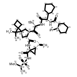 C=C[C@@H]1C[C@]1(NC(=O)[C@@H]1C[C@@]2(CN1C(=O)[C@@H](NC(=O)[C@@H](NC(=O)[C@@H]1CCCCN1C(C)C)C1CCCCC1)C(C)(C)C)C(C)(C)C21CCC1)C(=O)NS(=O)(=O)N(C)OC